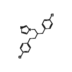 Clc1ccc(CCC(Cc2ccc(Cl)cc2)Cn2ccnc2)cc1